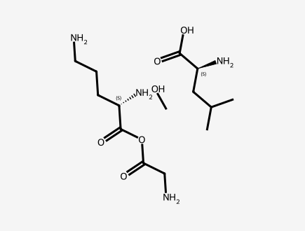 CC(C)C[C@H](N)C(=O)O.CO.NCCC[C@H](N)C(=O)OC(=O)CN